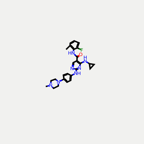 Cc1cccc(F)c1NC(=O)c1cnc(Nc2ccc(N3CCN(C)CC3)cc2)nc1NC1CC1